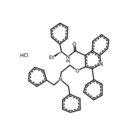 CC[C@H](NC(=O)c1c(OCCN(Cc2ccccc2)Cc2ccccc2)c(-c2ccccc2)nc2ccccc12)c1ccccc1.Cl